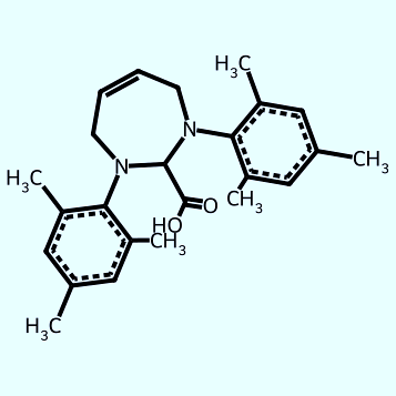 Cc1cc(C)c(N2CC=CCN(c3c(C)cc(C)cc3C)C2C(=O)O)c(C)c1